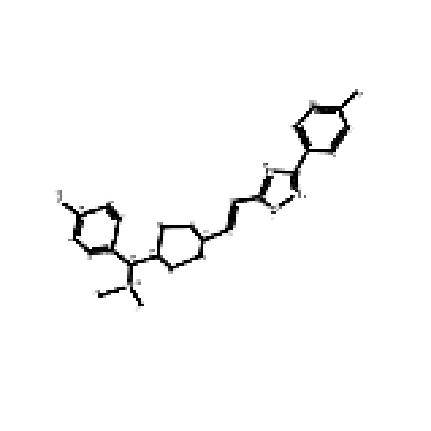 Cc1ccc(-c2noc(/C=C/C3CCC(C(c4ccc(F)cc4)N(C)C)CC3)n2)cc1